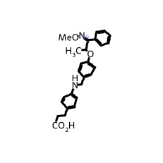 CO/N=C(/c1ccccc1)C(C)Oc1ccc(CNc2ccc(CCC(=O)O)cc2)cc1